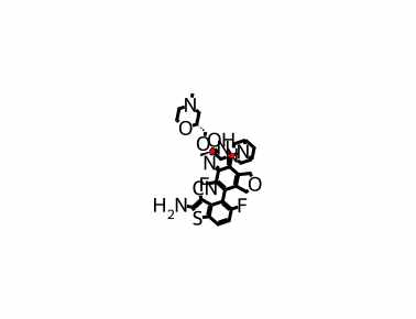 C[C@@H](O)CN1CC2CC(C1)N2c1nc(OC[C@H]2CN(C)CCO2)nc2c(F)c(-c3c(F)ccc4sc(N)c(C#N)c34)c3c(c12)COC3